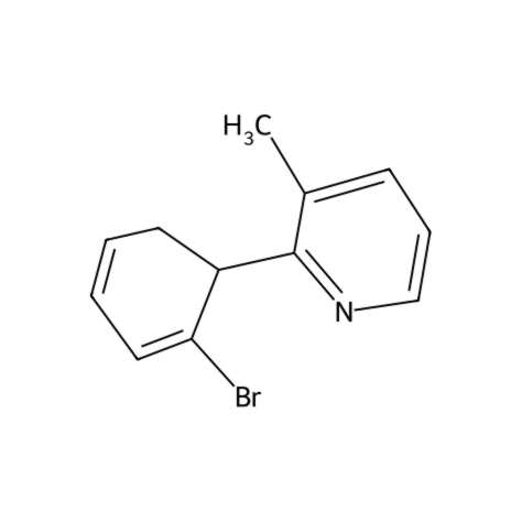 Cc1cccnc1C1CC=CC=C1Br